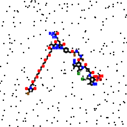 CSC1CC(=O)N(CCOCCOCCOCCOCCOCCOCCC(=O)N[C@H](C(=O)N[C@@H](CCCNC(N)=O)C(=O)Nc2ccc(COC(=S)N(C)CCN(C)C(=S)Oc3cc4c(c5c(C)c[nH]c35)[C@H](CCl)CN4C(=O)C34CC(C(=O)N5C[C@@H](CCl)c6c5cc(OP(=O)(O)O)c5[nH]cc(C)c65)(C3)C4)cc2)C(C)C)C1=O